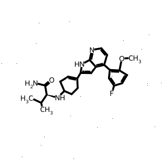 COc1ccc(F)cc1-c1ccnc2[nH]c(C3=CCC(N[C@H](C(N)=O)C(C)C)CC3)cc12